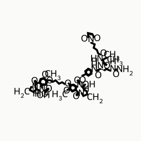 C=C1C[C@H]2C(O)N(C(=O)O)c3cc(OCCCCCOc4cc5c(cc4OC)C(=O)N4CC(=C)C[C@H]4C(O)N5C(=O)OCc4ccc(NC(=O)[C@H](CCCNC(N)=O)NC(=O)[C@@H](NC(=O)CCCCCN5C(=O)C=CC5=O)C(C)C)cc4)c(OC)cc3C(=O)N2C1